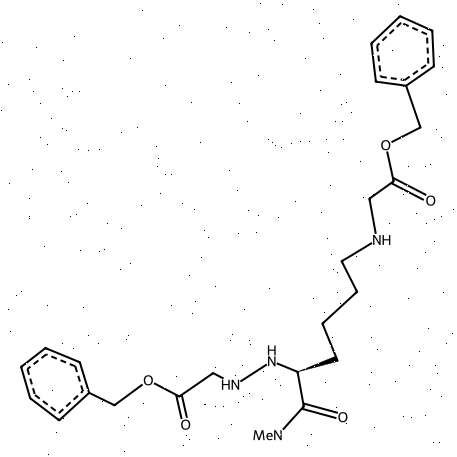 CNC(=O)[C@H](CCCCNCC(=O)OCc1ccccc1)NNCC(=O)OCc1ccccc1